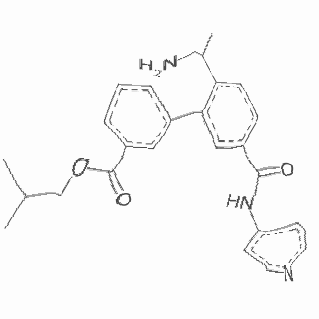 CC(C)COC(=O)c1cccc(-c2cc(C(=O)Nc3ccncc3)ccc2C(C)N)c1